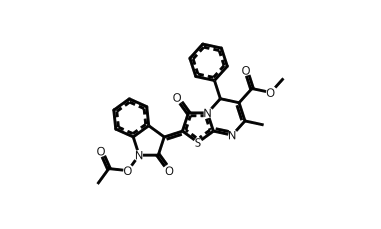 COC(=O)C1=C(C)N=c2s/c(=C3\C(=O)N(OC(C)=O)c4ccccc43)c(=O)n2C1c1ccccc1